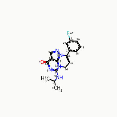 CC(C)Nc1nc(=O)c2cnn3c2n1CC=C3c1cccc(F)c1